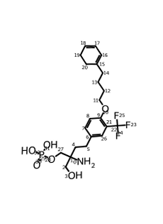 NC(CO)(CCc1ccc(OCCCCC2=CC=CCC2)c(C(F)(F)F)c1)COP(=O)(O)O